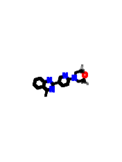 Cc1nc(-c2ccc(N3C[C@@H](C)O[C@@H](C)C3)nc2)nc2ccccc12